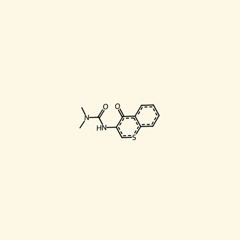 CN(C)C(=O)Nc1csc2ccccc2c1=O